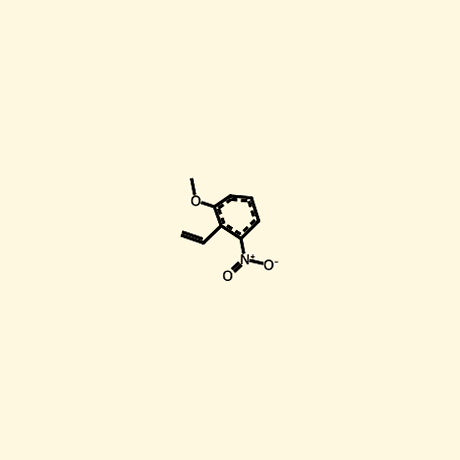 C=Cc1c(OC)cccc1[N+](=O)[O-]